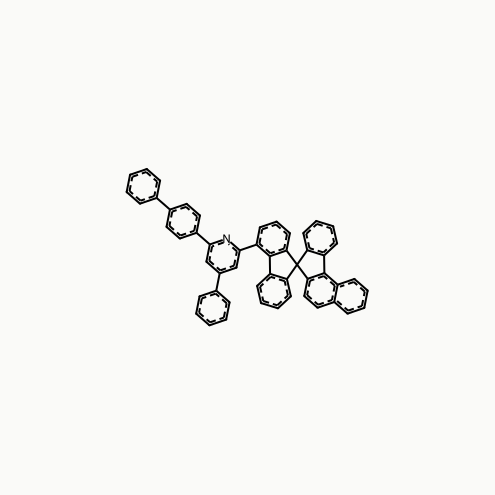 c1ccc(-c2ccc(-c3cc(-c4ccccc4)cc(-c4cccc5c4-c4ccccc4C54c5ccccc5-c5c4ccc4ccccc54)n3)cc2)cc1